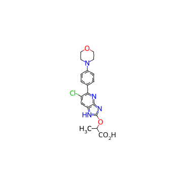 CC(Oc1nc2nc(-c3ccc(N4CCOCC4)cc3)c(Cl)cc2[nH]1)C(=O)O